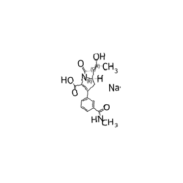 CNC(=O)c1cccc(C2=C(C(=O)O)N3C(=O)[C@H]([C@@H](C)O)[C@H]3C2)c1.[Na]